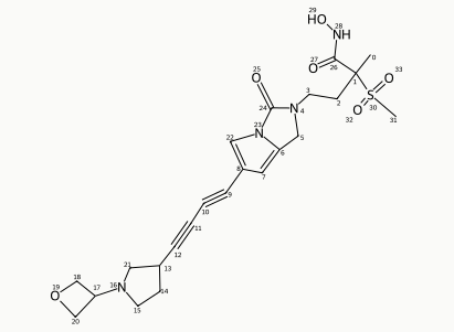 CC(CCN1Cc2cc(C#CC#CC3CCN(C4COC4)C3)cn2C1=O)(C(=O)NO)S(C)(=O)=O